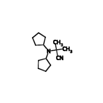 CC(C)(C#N)N(C1CCCC1)C1CCCC1